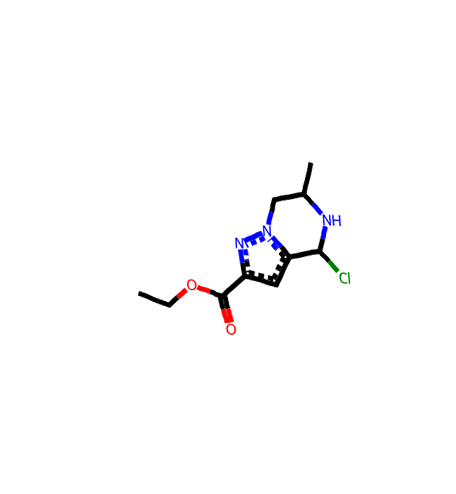 CCOC(=O)c1cc2n(n1)CC(C)NC2Cl